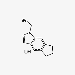 CC(C)C[C]1C=Cc2cc3c(cc21)CCC3.[LiH]